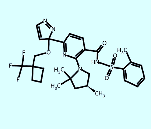 Cc1ccccc1S(=O)(=O)NC(=O)c1ccc(C2(OCC3(C(F)(F)F)CCC3)C=CN=N2)nc1N1C[C@@H](C)CC1(C)C